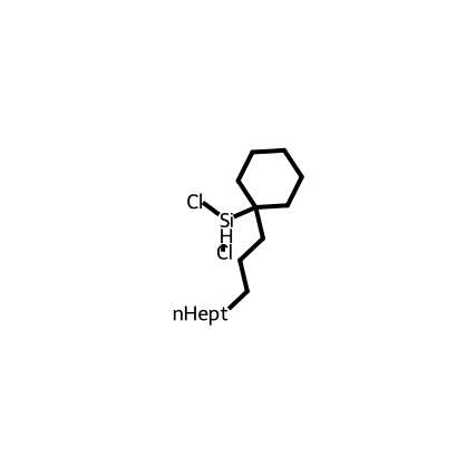 CCCCCCCCCCC1([SiH](Cl)Cl)CCCCC1